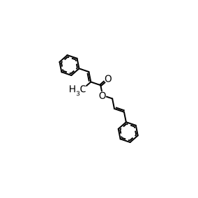 C/C(=C\c1ccccc1)C(=O)OC/C=C/c1ccccc1